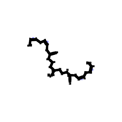 CC/C=C\C/C=C\CC(=O)OCCN(C)CCOC(=O)C/C=C\C/C=C\CC